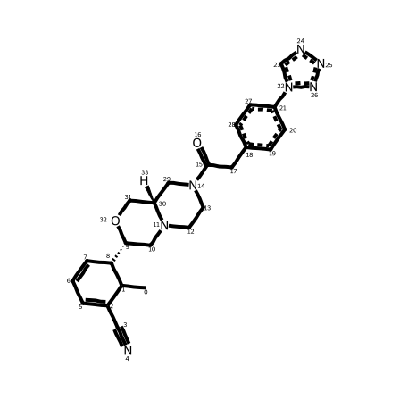 CC1C(C#N)=CC=CC1[C@H]1CN2CCN(C(=O)Cc3ccc(-n4cnnn4)cc3)C[C@H]2CO1